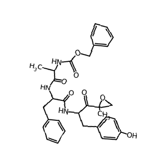 CC(NC(=O)OCc1ccccc1)C(=O)NC(Cc1ccccc1)C(=O)NC(Cc1ccc(O)cc1)C(=O)C1(C)CO1